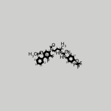 CC(CCN(C=O)c1ccc(-c2ccccc2P(C)C)c(F)c1F)NC(=O)Nc1ccc(OC(F)(F)F)cc1F